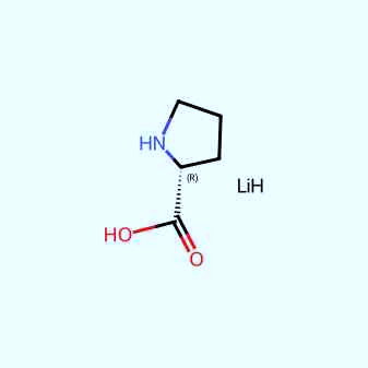 O=C(O)[C@H]1CCCN1.[LiH]